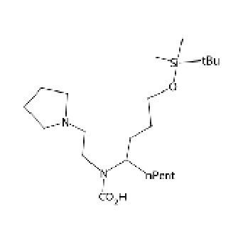 CCCCCC(CCCO[Si](C)(C)C(C)(C)C)N(CCN1CCCC1)C(=O)O